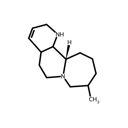 CC1CCC[C@H]2C3NCC=CC3CCN2C1